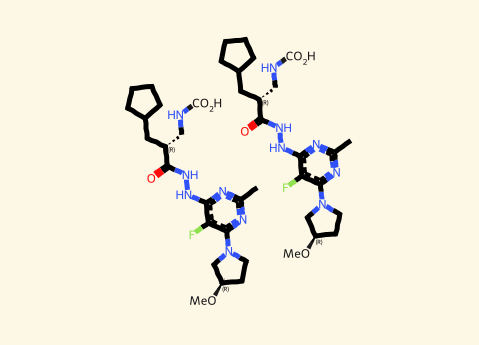 CO[C@@H]1CCN(c2nc(C)nc(NNC(=O)[C@@H](CNC(=O)O)CC3CCCC3)c2F)C1.CO[C@@H]1CCN(c2nc(C)nc(NNC(=O)[C@@H](CNC(=O)O)CC3CCCC3)c2F)C1